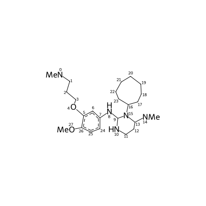 CNCCCOc1cc(NC2NCCC(NC)N2C2CCCCCCC2)ccc1OC